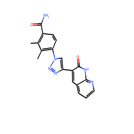 Cc1c(C(N)=O)ccc(-n2cc(-c3cc4cccnc4[nH]c3=O)nn2)c1C